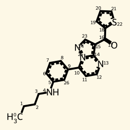 CCCCNc1cccc(-c2ccnc3c(C(=O)c4cccs4)cnn23)c1